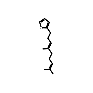 CC(C)=CCC/C(C)=C/CCc1ccco1